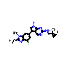 Cc1nc2c(F)cc(-c3c[nH]c4nc(NCC5(C)CC5)ncc34)cc2n1C(C)C